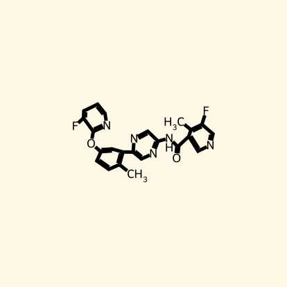 Cc1ccc(Oc2ncccc2F)cc1-c1cnc(NC(=O)c2cncc(F)c2C)cn1